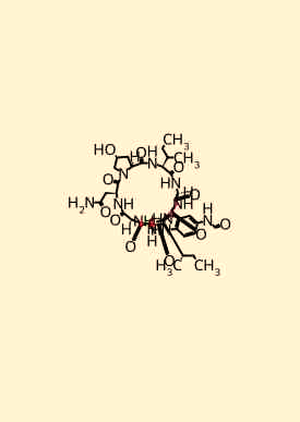 CCC(C)[C@@H]1NC(=O)[C@@H]2C[C@@H](O)CN2C(=O)[C@H](CC(N)=O)NC(=O)[C@@H]2CSc3[nH]c4ccc(NC=O)cc4c3C[C@H](NC1=O)C(=O)NCC(=O)N[C@@H]([C@@H](C)CC)C(=O)NCC(=O)N2